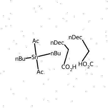 CCCCCCCCCCCC(=O)O.CCCCCCCCCCCC(=O)O.CCC[CH2][Sn]([CH2]CCC)([C](C)=O)[C](C)=O